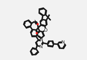 CC1(C)c2ccccc2-c2cc3c(cc21)Oc1ccccc1C31c2ccccc2-c2ccccc2-c2ccc(-c3cc(-c4ccccc4)nc(-c4ccc(-c5cccnc5)cc4)n3)cc21